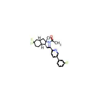 CC(=O)N[C@@]1(C)C[C@@H]2CC(F)(F)CC[C@H]2[C@@H]1/C=C/c1ccc(-c2cccc(F)c2)cn1